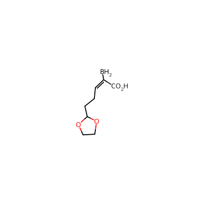 B/C(=C/CCC1OCCO1)C(=O)O